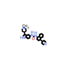 CN1CCC(c2c[nH]c3ccc(NC(=O)Nc4ccc(-c5ccncc5)c5ccccc45)cc23)CC1